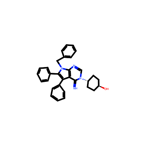 N=c1c2c(-c3ccccc3)c(-c3ccccc3)n(Cc3ccccc3)c2ncn1[C@H]1CC[C@H](O)CC1